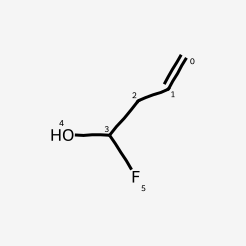 C=CCC(O)F